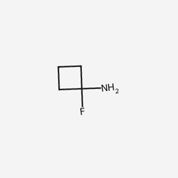 NC1(F)CCC1